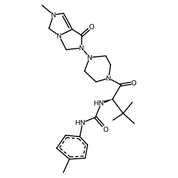 Cc1ccc(NC(=O)N[C@@H](C(=O)N2CCN(N3CN4CN(C)C=C4C3=O)CC2)C(C)(C)C)cc1